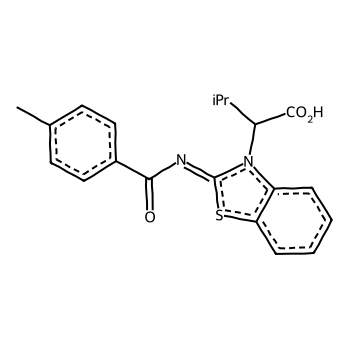 Cc1ccc(C(=O)N=c2sc3ccccc3n2C(C(=O)O)C(C)C)cc1